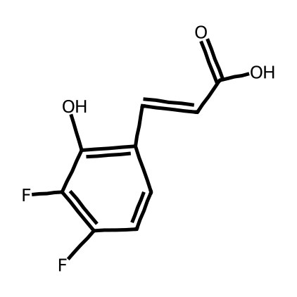 O=C(O)/C=C/c1ccc(F)c(F)c1O